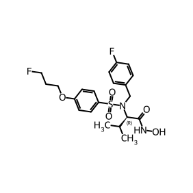 CC(C)[C@H](C(=O)NO)N(Cc1ccc(F)cc1)S(=O)(=O)c1ccc(OCCCF)cc1